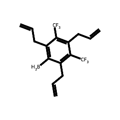 Bc1c(CC=C)c(C(F)(F)F)c(CC=C)c(C(F)(F)F)c1CC=C